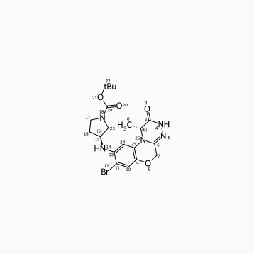 C[C@@H]1C(=O)NN=C2COc3cc(Br)c(N[C@H]4CCN(C(=O)OC(C)(C)C)C4)cc3N21